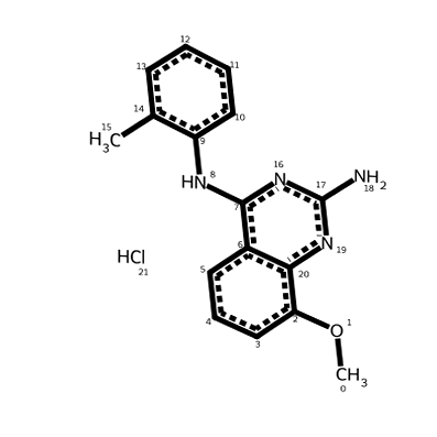 COc1cccc2c(Nc3ccccc3C)nc(N)nc12.Cl